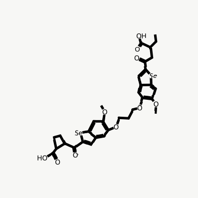 CCC(CC(=O)c1cc2cc(OCCCOc3cc4cc(C(=O)C5CCC5C(=O)O)[se]c4cc3OC)c(OC)cc2[se]1)C(=O)O